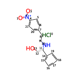 Cl.O=[N+]([O-])c1ccc(CCN[C@@H](CO)c2ccccc2)cc1